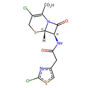 O=C(Cc1csc(Cl)n1)N[C@@H]1C(=O)N2C(C(=O)O)=C(Cl)CS[C@@H]12